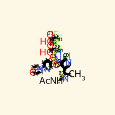 CC(=O)Nc1nc(C)c(-c2cnc(Cl)c(NS(=O)(=O)c3ccc(N4CCOCC4)nc3)c2)s1.O=C(O)C(F)(F)F.O=C(O)C(F)(F)F